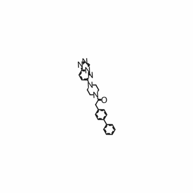 O=C(Cc1ccc(-c2ccccc2)cc1)N1CCN(c2ccc3nncn3n2)CC1